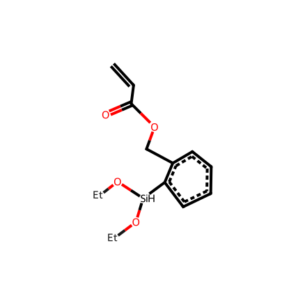 C=CC(=O)OCc1ccccc1[SiH](OCC)OCC